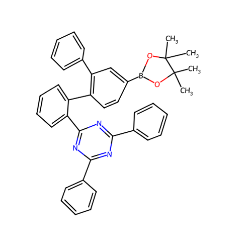 CC1(C)OB(c2ccc(-c3ccccc3-c3nc(-c4ccccc4)nc(-c4ccccc4)n3)c(-c3ccccc3)c2)OC1(C)C